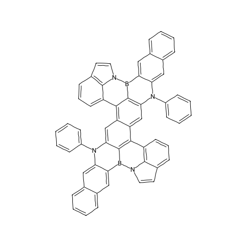 c1ccc(N2c3cc4ccccc4cc3B3c4c2cc2c5c6c(cc2c4-c2cccc4ccn3c24)N(c2ccccc2)c2cc3ccccc3cc2B6n2ccc3cccc-5c32)cc1